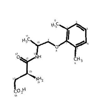 Cc1cccc(C)c1OCC(C)NC(=O)[C@@H](N)CC(=O)O